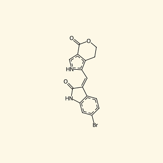 O=C1Nc2cc(Br)ccc2/C1=C/c1[nH]cc2c1CCOC2=O